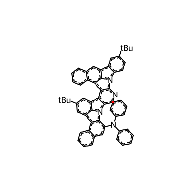 CC(C)(C)c1ccc2c(c1)c1cc3ccccc3c3c4c5c6cc(C(C)(C)C)cc7c8c9ccccc9cc(N(c9ccccc9)c9ccccc9)c8n(c5cnc4n2c13)c67